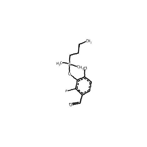 CCCC[Si](C)(C)Oc1c(Cl)ccc(C=O)c1F